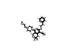 COCCN1CCN(c2nc(SCCc3ccccn3)c(C#N)c3c2COC(C)(C)C3)CC1